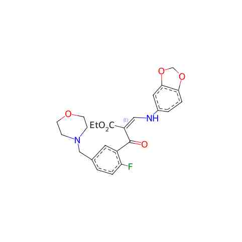 CCOC(=O)/C(=C/Nc1ccc2c(c1)OCO2)C(=O)c1cc(CN2CCOCC2)ccc1F